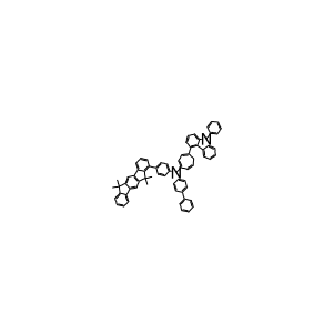 CC1(C)c2ccccc2-c2cc3c(cc21)-c1cccc(-c2ccc(N(C4=CC=C(c5cccc6c5c5ccccc5n6-c5ccccc5)CC=C4)c4ccc(-c5ccccc5)cc4)cc2)c1C3(C)C